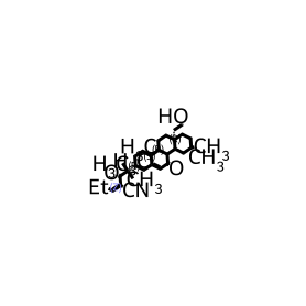 CC/C=C(/C#N)C(=O)C(C)(C)[C@@H]1CC[C@]2(C)C(=CC(=O)C3C4CC(C)(C)CC[C@]4(CCO)CC[C@]32C)C1